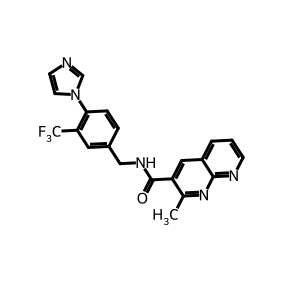 Cc1nc2ncccc2cc1C(=O)NCc1ccc(-n2ccnc2)c(C(F)(F)F)c1